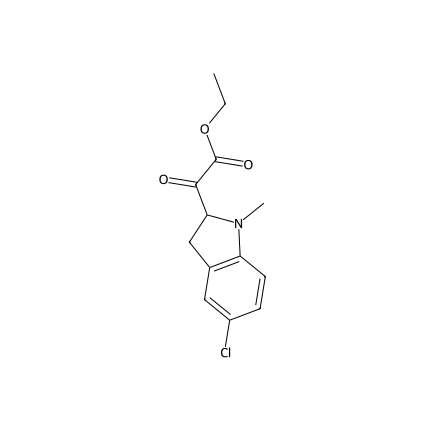 CCOC(=O)C(=O)C1Cc2cc(Cl)ccc2N1C